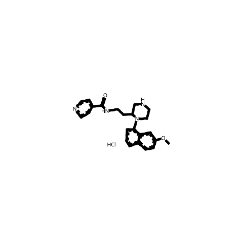 COc1ccc2cccc(N3CCNCC3CCNC(=O)c3ccncc3)c2c1.Cl